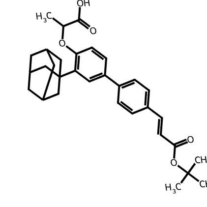 CC(Oc1ccc(-c2ccc(C=CC(=O)OC(C)(C)C)cc2)cc1C12CC3CC(CC(C3)C1)C2)C(=O)O